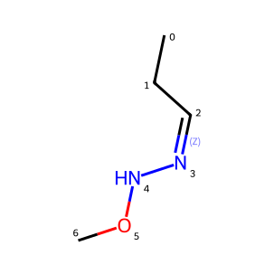 CC/C=N\NOC